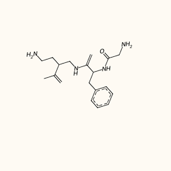 C=C(C)C(CCN)CNC(=C)C(Cc1ccccc1)NC(=O)CN